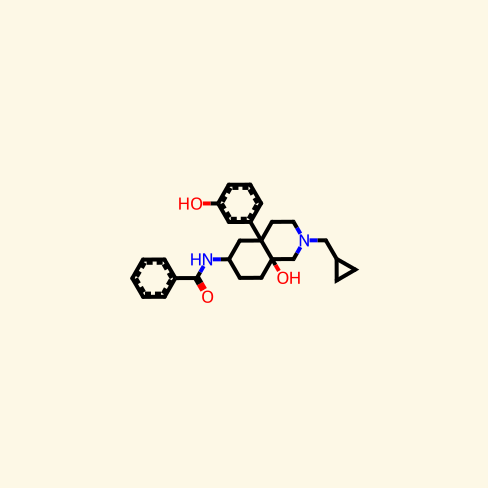 O=C(NC1CCC2(O)CN(CC3CC3)CCC2(c2cccc(O)c2)C1)c1ccccc1